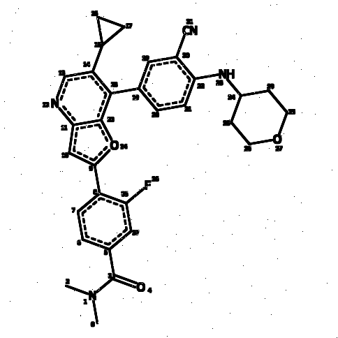 CN(C)C(=O)c1ccc(-c2cc3ncc(C4CC4)c(-c4ccc(NC5CCOCC5)c(C#N)c4)c3o2)c(F)c1